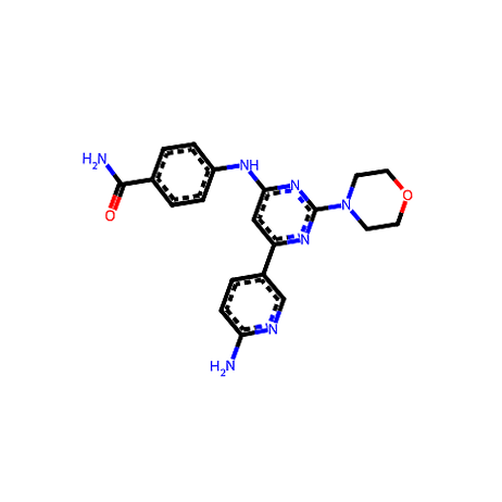 NC(=O)c1ccc(Nc2cc(-c3ccc(N)nc3)nc(N3CCOCC3)n2)cc1